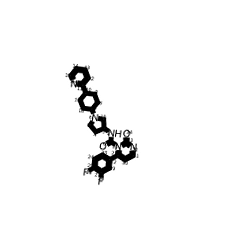 O=C(NC1CCN(C2CCC(c3ccccn3)CC2)C1)n1c(-c2ccc(F)c(F)c2)ccnc1=O